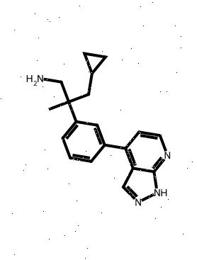 CC(CN)(CC1CC1)c1cccc(-c2ccnc3[nH]ncc23)c1